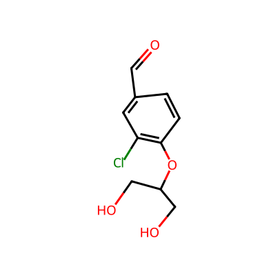 O=Cc1ccc(OC(CO)CO)c(Cl)c1